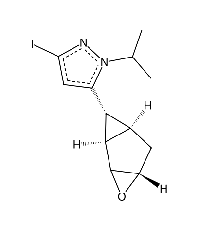 CC(C)n1nc(I)cc1[C@@H]1[C@H]2C[C@@H]3OC3[C@H]21